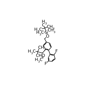 CO[C@@H](c1cc(CO[Si](C)(C)C(C)(C)C)ccc1-c1cc(F)ccc1F)C(C)(C)C